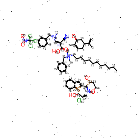 C=C(C)C1CC=C(C)C(=O)C1.C=CCO.CCCCCCCCCCCC[N+](C)(C)Cc1ccccc1.CN(/C=C(\C#N)C(=O)O)Cc1ccccc1.O=[N+]([O-])C(Cl)(Cl)Cl.[Cl-].[O-][S+]1CCON=C1c1cc2ccccc2s1